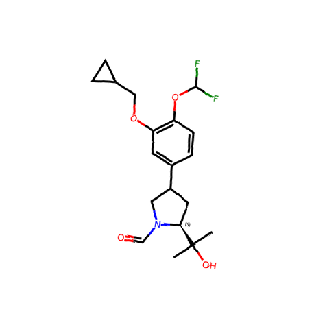 CC(C)(O)[C@@H]1CC(c2ccc(OC(F)F)c(OCC3CC3)c2)CN1C=O